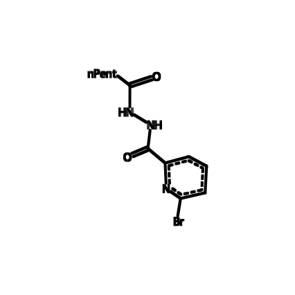 CCCCCC(=O)NNC(=O)c1cccc(Br)n1